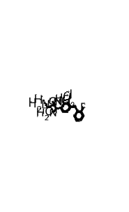 CC(N)(C(N)=O)C(N)c1ccc(Cc2ccccc2F)cc1.Cl.Cl